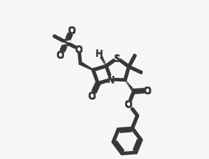 CC1(C)S[C@@H]2[C@H](COS(C)(=O)=O)C(=O)N2[C@H]1C(=O)OCc1ccccc1